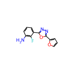 Nc1cccc(-c2nnc(-c3ccco3)o2)c1F